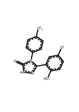 O=c1[nH]nc(-c2cc(Cl)ccc2O)n1-c1ccc(C(F)(F)F)cc1